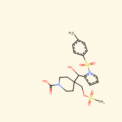 Cc1ccc(S(=O)(=O)n2cccc2C(O)C2(COS(C)(=O)=O)CCN(C(=O)O)CC2)cc1